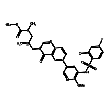 COc1ncc(-c2ccc3ncn(C[C@@H](C)CN(C)C(=O)OC(C)(C)C)c(=O)c3c2)cc1NS(=O)(=O)c1ccc(F)cc1Cl